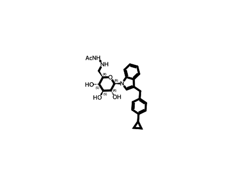 CC(=O)NNC[C@H]1O[C@@H](n2cc(Cc3ccc(C4CC4)cc3)c3ccccc32)[C@H](O)[C@@H](O)[C@@H]1O